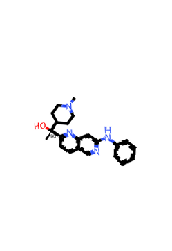 CN1CCC([C@@](C)(O)c2ccc3cnc(Nc4ccccc4)cc3n2)CC1